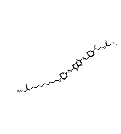 CCC(=O)OCCCCCCCCCOc1ccc(/N=N/c2cc3sc(/N=N/c4ccc(NCCOC(=O)CC)cc4)nc3s2)cc1